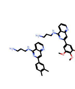 COc1cc(-c2cc3ncccc3c(NCCCN)n2)cc(OC)c1OC.Cc1ccc(-c2cc3ncccc3c(NCCCN)n2)cc1C